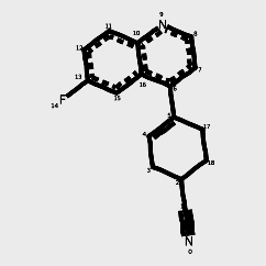 N#CC1CC=C(c2ccnc3ccc(F)cc23)CC1